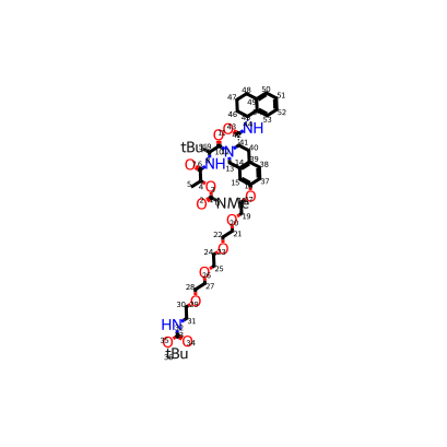 CNC(=O)OC(C)C(=O)NC(C(=O)N1Cc2cc(OCCOCCOCCOCCOCCNC(=O)OC(C)(C)C)ccc2C[C@H]1C(=O)N[C@@H]1CCCc2ccccc21)C(C)(C)C